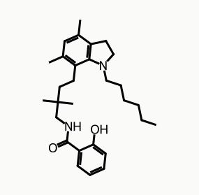 CCCCCCN1CCc2c(C)cc(C)c(CCC(C)(C)CNC(=O)c3ccccc3O)c21